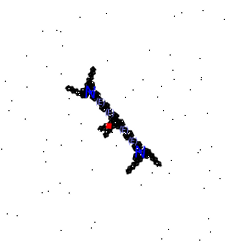 CCCCCCc1ccc2c(c1)c1cc(CCCCCC)ccc1n2-c1ccc(/C=C/c2ccc(/C=C/c3ccc4c(c3)C(CCCCCC)(CCCCCC)c3cc(/C=C/c5ccc(/C=C/c6ccc(-n7c8ccc(CCCCCC)cc8c8cc(CCCCCC)ccc87)cc6)cc5)ccc3-4)cc2)cc1